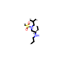 CCCN[C@H](CC)CN(CC(C)C)S(C)(=O)=O